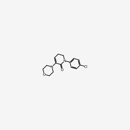 O=C1C(N2CCOCC2)=CCCN1c1ccc(Cl)cc1